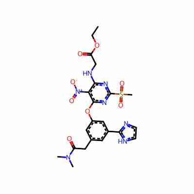 CCOC(=O)CNc1nc(S(C)(=O)=O)nc(Oc2cc(CC(=O)N(C)C)cc(-c3ncc[nH]3)c2)c1[N+](=O)[O-]